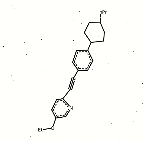 CCCC1CCC(c2ccc(C#Cc3ccc(OCC)cn3)cc2)CC1